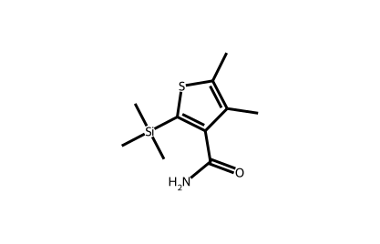 Cc1sc([Si](C)(C)C)c(C(N)=O)c1C